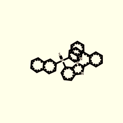 S=P(c1cccnc1)(c1ccc2ccccc2c1)c1cccc2nc3c4ccccc4c4ccccc4n3c12